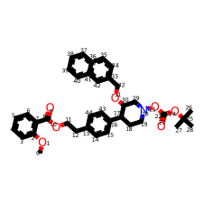 COc1ccccc1C(=O)OCCc1ccc(C2CCN(OC(=O)OC(C)(C)C)CC2OCc2ccc3ccccc3c2)cc1